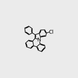 Clc1ccc2c(-c3ccccc3)c3c4ccccc4c4ccccc4n3c2c1